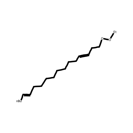 CCCCC=CCCCCCCCCC=CCCOOCC